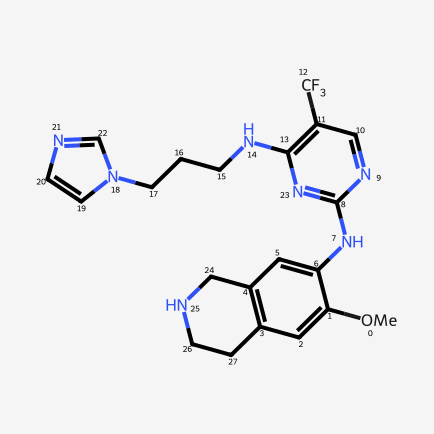 COc1cc2c(cc1Nc1ncc(C(F)(F)F)c(NCCCn3ccnc3)n1)CNCC2